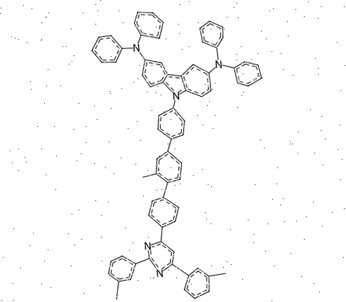 Cc1cccc(-c2cc(-c3ccc(-c4ccc(-c5ccc(-n6c7ccc(N(c8ccccc8)c8ccccc8)cc7c7cc(N(c8ccccc8)c8ccccc8)ccc76)cc5)cc4C)cc3)nc(-c3cccc(C)c3)n2)c1